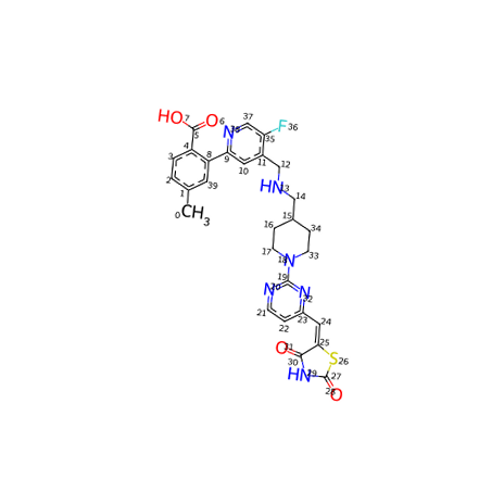 Cc1ccc(C(=O)O)c(-c2cc(CNCC3CCN(c4nccc(C=C5SC(=O)NC5=O)n4)CC3)c(F)cn2)c1